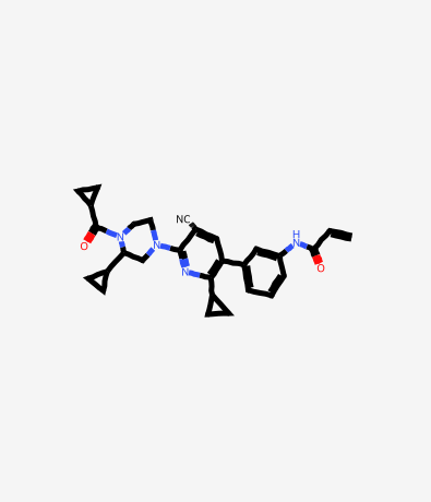 C=CC(=O)Nc1cccc(-c2cc(C#N)c(N3CCN(C(=O)C4CC4)C(C4CC4)C3)nc2C2CC2)c1